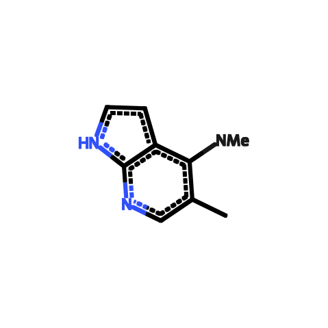 CNc1c(C)cnc2[nH]ccc12